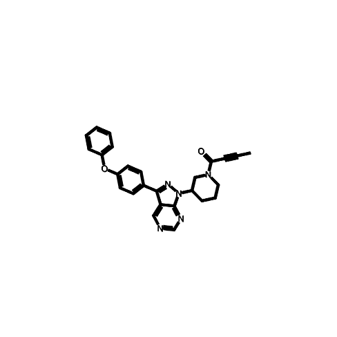 CC#CC(=O)N1CCCC(n2nc(-c3ccc(Oc4ccccc4)cc3)c3cncnc32)C1